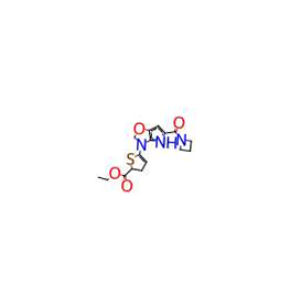 CCOC(=O)C1CC=C(N2COc3cc(C(=O)N4CCC4)[nH]c32)S1